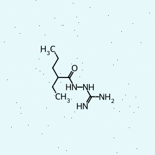 CCCC(CC)C(=O)NNC(=N)N